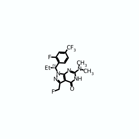 CC[C@@H](c1ccc(C(F)(F)F)cc1F)n1nc(CF)c2c(=O)[nH]c(N(C)C)nc21